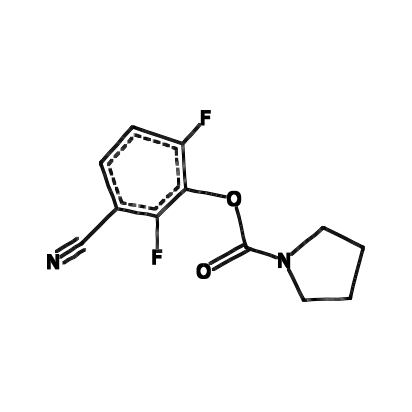 N#Cc1ccc(F)c(OC(=O)N2CCCC2)c1F